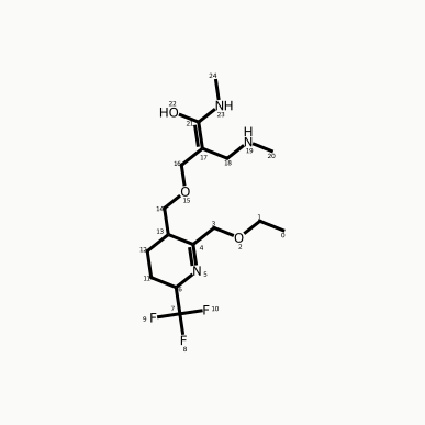 CCOCC1=NC(C(F)(F)F)CCC1COC/C(CNC)=C(\O)NC